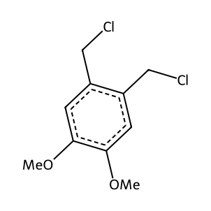 COc1cc(CCl)c(CCl)cc1OC